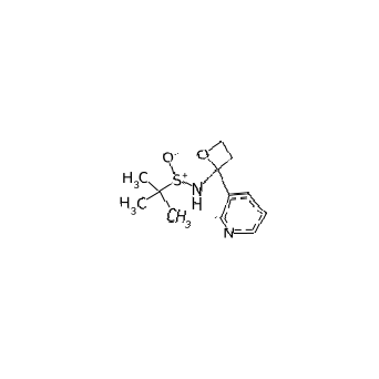 CC(C)(C)[S+]([O-])NC1(c2[c]nccc2)CCO1